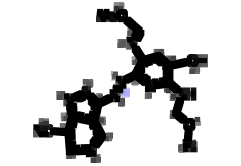 CCOCNc1nc(/N=N/c2snc3c(C#N)cncc23)c(N=COC)cc1O